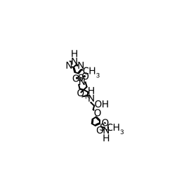 CNS(=O)(=O)c1cccc(OCC(O)CN[C@H]2COC3(CCN(S(=O)(=O)c4cc5nc[nH]c5nc4C)CC3)C2)c1